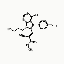 CNC(=O)/C(C#N)=C/c1c(-c2ccc(C)cc2)c2c(N)ncnc2n1CCCO